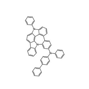 c1ccc(-c2ccc(N(c3ccccc3)c3ccc4c5cccc6c5c5c(ccc7c8ccccc8n(c4c3)c75)n6-c3ccccc3)cc2)cc1